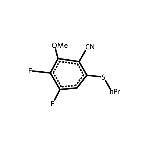 CCCSc1cc(F)c(F)c(OC)c1C#N